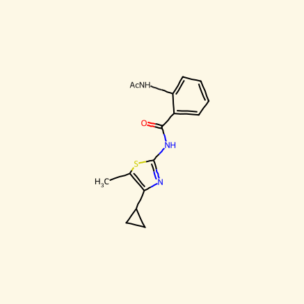 CC(=O)Nc1ccccc1C(=O)Nc1nc(C2CC2)c(C)s1